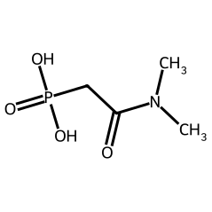 CN(C)C(=O)CP(=O)(O)O